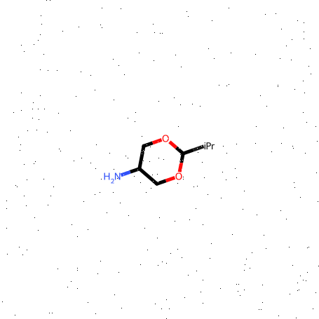 CC(C)C1OCC(N)CO1